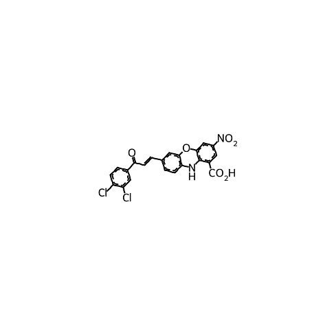 O=C(/C=C/c1ccc2c(c1)Oc1cc([N+](=O)[O-])cc(C(=O)O)c1N2)c1ccc(Cl)c(Cl)c1